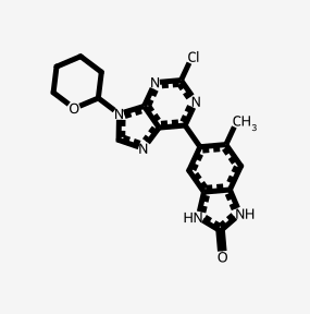 Cc1cc2[nH]c(=O)[nH]c2cc1-c1nc(Cl)nc2c1ncn2C1CCCCO1